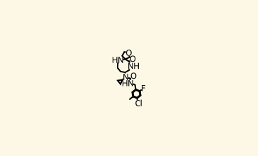 Cc1cc(CNC(=O)N(C2CC2)[C@@H]2CCCNC3(CCOC3)C(=O)NC2)c(F)cc1Cl